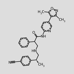 Cc1noc(C)c1-c1ccc(NC(=O)C(CNC[C@@H](C)c2ccc(C#N)cc2)c2ccccc2)nc1